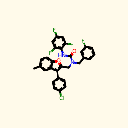 Cc1ccc2oc(CN(Cc3cccc(F)c3)C(=O)Nc3c(F)cc(F)cc3F)c(-c3ccc(Cl)cc3)c2c1